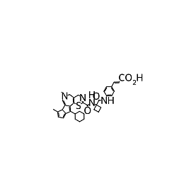 CC1=CC=C2C(C3CCCCC3)=C3C(=CN(C)CC4=C3SC(C(=O)NC3(C(=O)Nc5ccc(/C=C/C(=O)O)cc5)CCC3)=NC4)C12